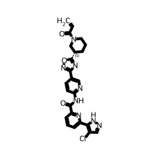 C=CC(=O)N1CCC[C@H](c2nc(-c3ccc(NC(=O)c4cccc(-c5[nH]ncc5Cl)n4)nc3)no2)C1